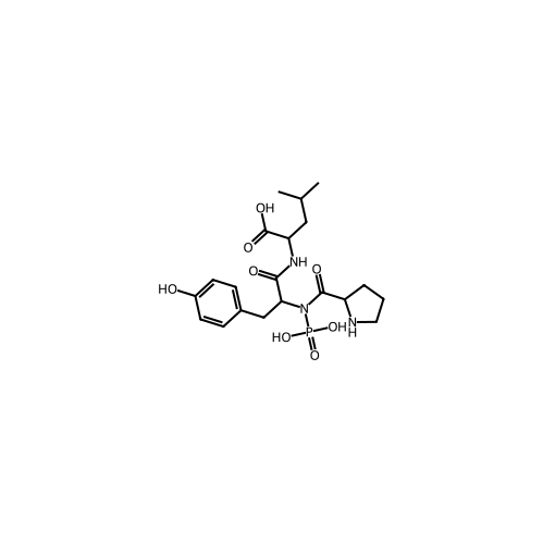 CC(C)CC(NC(=O)C(Cc1ccc(O)cc1)N(C(=O)C1CCCN1)P(=O)(O)O)C(=O)O